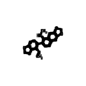 C=Cc1c(-c2ccc3cc4c(cc3c2NC)OCO4)ccc2c1OCO2